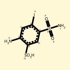 Nc1cc(I)c(S(N)(=O)=O)cc1S(=O)(=O)O